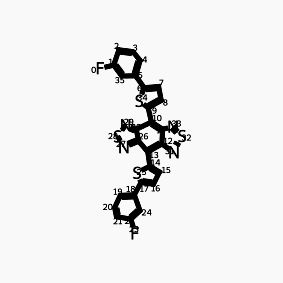 Fc1cccc(-c2ccc(-c3c4c(c(-c5ccc(-c6cccc(F)c6)s5)c5nsnc35)N=S=N4)s2)c1